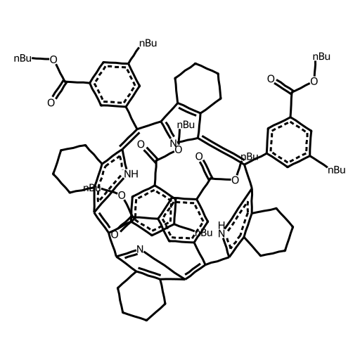 CCCCOC(=O)c1cc(CCCC)cc(/C2=C3N=C(C4=C/3CCCC4)/C(c3cc(CCCC)cc(C(=O)OCCCC)c3)=c3\[nH]/c(c4c3CCCC4)=C(/c3cc(CCCC)cc(C(=O)OCCCC)c3)C3=N/C(=C(/c4cc(C(=O)OCCCC)cc(C(=O)OCCCC)c4)c4[nH]c2c2c4CCCC2)C2=C3CCCC2)c1